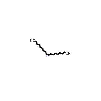 N#CCCCCCCC/C=C\CCCCCCCC#N